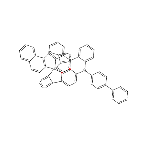 c1ccc(-c2ccc(N(c3ccc4c(c3)C3(c5ccccc5Oc5c3ccc3ccccc53)c3ccccc3-4)c3ccccc3-c3cccc4ccccc34)cc2)cc1